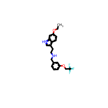 CCOc1ccc2c(CCNCc3cccc(OCC(F)(F)F)c3)c[nH]c2c1